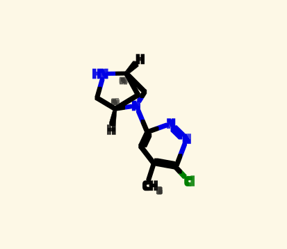 Cc1cc(N2C[C@@H]3C[C@H]2CN3)nnc1Cl